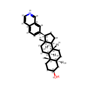 C[C@]12CC[C@H](O)C[C@@H]1CC[C@@H]1[C@@H]2CC[C@]2(C)[C@@H](c3ccc4ccncc4c3)CC[C@@H]12